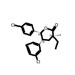 CC[C@@]1(C)C[C@H](c2cccc(Cl)c2)[C@H](c2ccc(Cl)cc2)OC1=O